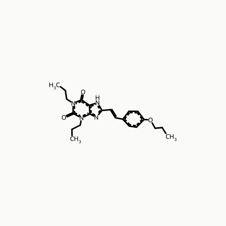 CCCOc1ccc(C=Cc2nc3c([nH]2)c(=O)n(CCC)c(=O)n3CCC)cc1